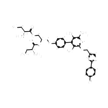 [C-]#[N+]c1c(N)nc(SCc2coc(-c3ccc(Cl)cc3)n2)c(C#N)c1-c1ccc(OC[C@@H](COC(=O)[C@@H](N)CC(C)C)OC(=O)[C@@H](N)CC(C)C)cc1